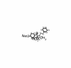 CC(=O)O.COc1ccc(S(=O)(=O)CCCc2ccccc2)cc1